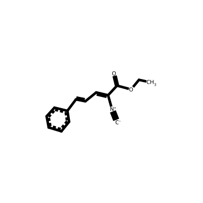 [C-]#[N+]C(=CC=Cc1ccccc1)C(=O)OCC